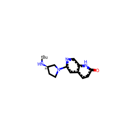 CC(C)(C)N[C@@H]1CCN(c2cc3ccc(=O)[nH]c3cn2)C1